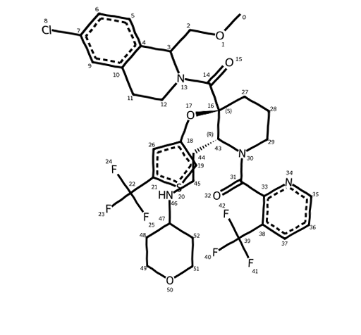 COCC1c2ccc(Cl)cc2CCN1C(=O)[C@]1(Oc2csc(C(F)(F)F)c2)CCCN(C(=O)c2ncccc2C(F)(F)F)[C@@H]1CCNC1CCOCC1